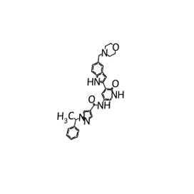 CC(c1ccccc1)n1cc(C(=O)Nc2c[nH]c(=O)c(-c3cc4cc(CN5CCOCC5)ccc4[nH]3)c2)cn1